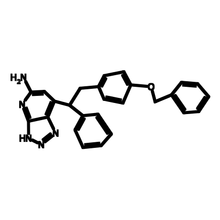 Nc1cc(C(Cc2ccc(OCc3ccccc3)cc2)c2ccccc2)c2nn[nH]c2n1